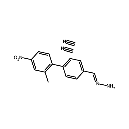 C#N.C#N.Cc1cc([N+](=O)[O-])ccc1-c1ccc(C=NN)cc1